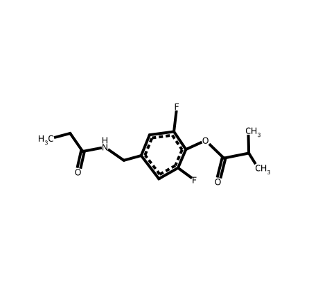 CCC(=O)NCc1cc(F)c(OC(=O)C(C)C)c(F)c1